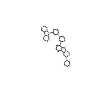 c1ccc(-c2ccc3oc4c(-c5cccc(-c6cccc(-n7c8ccccc8c8ccccc87)c6)c5)ncnc4c3c2)cc1